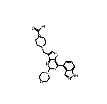 CCC(=O)N1CCN(Cc2csc3c(-c4cccc5[nH]ncc45)nc(N4CCOCC4)nc23)CC1